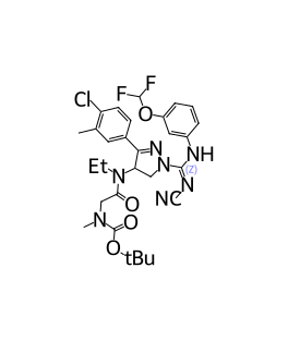 CCN(C(=O)CN(C)C(=O)OC(C)(C)C)C1CN(/C(=N\C#N)Nc2cccc(OC(F)F)c2)N=C1c1ccc(Cl)c(C)c1